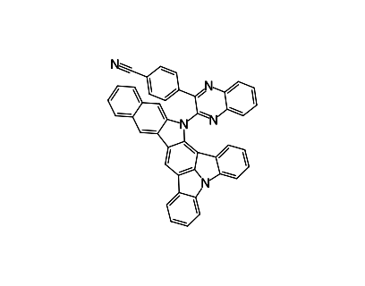 N#Cc1ccc(-c2nc3ccccc3nc2-n2c3cc4ccccc4cc3c3cc4c5ccccc5n5c6ccccc6c(c32)c45)cc1